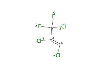 FC(F)(Cl)C(Cl)=CCl